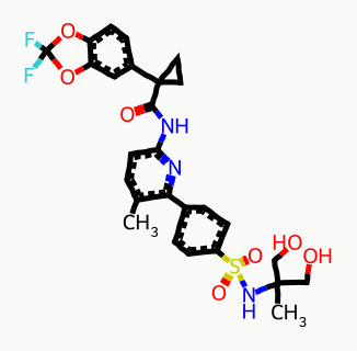 Cc1ccc(NC(=O)C2(c3ccc4c(c3)OC(F)(F)O4)CC2)nc1-c1ccc(S(=O)(=O)NC(C)(CO)CO)cc1